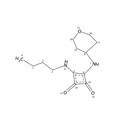 CCCCNc1c(NC2CCOCC2)c(=O)c1=O